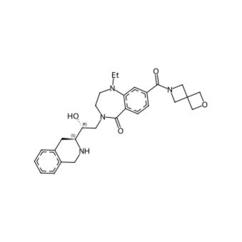 CCN1CCN(C[C@@H](O)[C@@H]2Cc3ccccc3CN2)C(=O)c2ccc(C(=O)N3CC4(COC4)C3)cc21